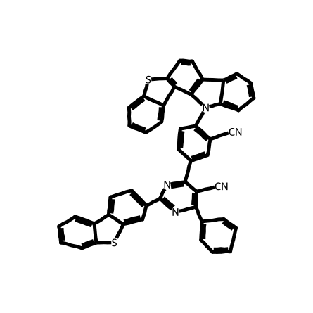 N#Cc1cc(-c2nc(-c3ccc4c(c3)sc3ccccc34)nc(-c3ccccc3)c2C#N)ccc1-n1c2ccccc2c2ccc3sc4ccccc4c3c21